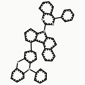 c1ccc(-c2nc(-n3c4cccc(-c5ccc6c(c5)Sc5ccccc5N6c5ccccc5)c4c4c5ccccc5ccc43)nc3ccccc23)cc1